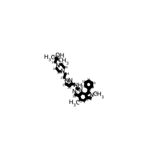 C[C@@H]1Cc2cn(C)c(-c3ccccc3)c2-c2nc(Nc3ccn(CCN4CCN(CC(C)(C)O)CC4)n3)ncc21